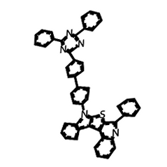 c1ccc(-c2nc(-c3ccccc3)nc(-c3ccc(-c4ccc(-n5c6ccccc6c6c7c(sc65)c(-c5ccccc5)nc5ccccc57)cc4)cc3)n2)cc1